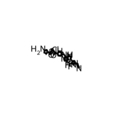 CC(NC(=O)c1ccc(Nc2nccn3c(-c4cn(CC#N)nc4C(F)(F)F)cnc23)cc1Cl)C(=O)N1CC[C@@H](N)C1